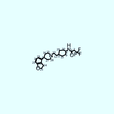 O=C(CC(F)(F)F)NC1CCC(CCN2CCC(c3cccc4c3CCO4)CC2)CC1